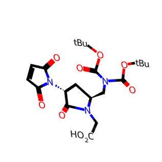 CC(C)(C)OC(=O)N(C[C@@H]1C[C@@H](N2C(=O)C=CC2=O)C(=O)N1CC(=O)O)C(=O)OC(C)(C)C